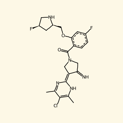 CC1=N/C(=C2\CN(C(=O)c3ccc(F)cc3OC[C@H]3C[C@@H](F)CN3)CC2=N)NC(C)=C1Cl